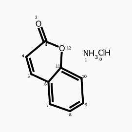 Cl.N.O=c1ccc2ccccc2o1